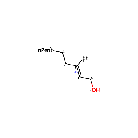 CCCCCCC/C(=C/CO)CC